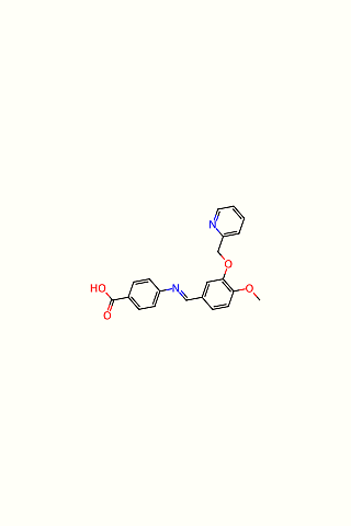 COc1ccc(C=Nc2ccc(C(=O)O)cc2)cc1OCc1ccccn1